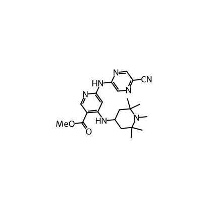 COC(=O)c1cnc(Nc2cnc(C#N)cn2)cc1NC1CC(C)(C)N(C)C(C)(C)C1